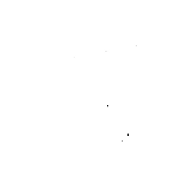 Cc1oc(=O)oc1COCO